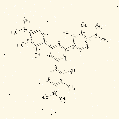 Cc1c(N(C)C)ccc(-c2nc(-c3ccc(N(C)C)c(C)c3O)nc(-c3ccc(N(C)C)c(C)c3O)n2)c1O